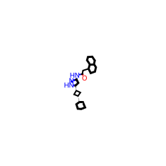 O=C(Cc1cccc2ccccc12)Nc1cc([C@H]2C[C@@H](c3ccccc3)C2)[nH]n1